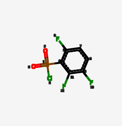 O=S(=O)(Cl)c1c(F)ccc(F)c1F